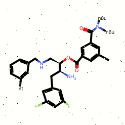 CCCCN(CCCC)C(=O)c1cc(C)cc(C(=O)O[C@H](CNCc2cccc(CC)c2)[C@@H](N)Cc2cc(F)cc(F)c2)c1